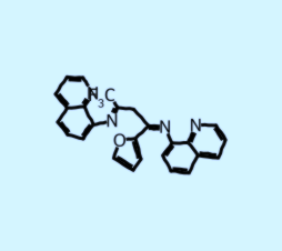 FC(F)(F)C(CC(=Nc1cccc2cccnc12)c1ccco1)=Nc1cccc2cccnc12